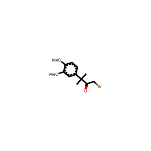 COc1ccc(C(C)(C)C(=O)CBr)cc1OC